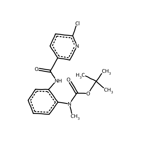 CN(C(=O)OC(C)(C)C)c1ccccc1NC(=O)c1ccc(Cl)nc1